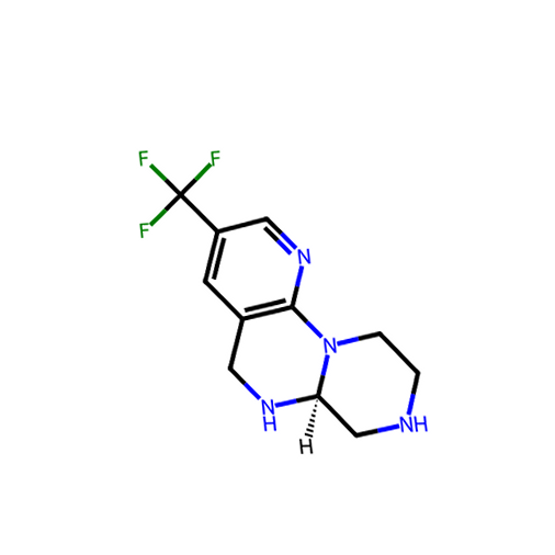 FC(F)(F)c1cnc2c(c1)CN[C@@H]1CNCCN21